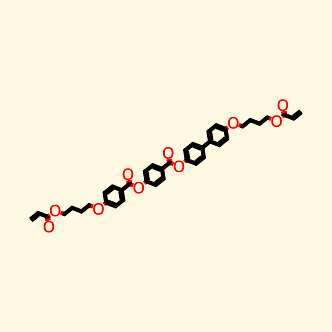 C=CC(=O)OCCCCOc1ccc(C(=O)Oc2ccc(C(=O)Oc3ccc(-c4ccc(OCCCCOC(=O)C=C)cc4)cc3)cc2)cc1